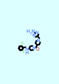 Nc1ncc(CN2CCC(C(=O)N3CCC(NCc4c(F)cccc4F)CC3)CC2)cn1